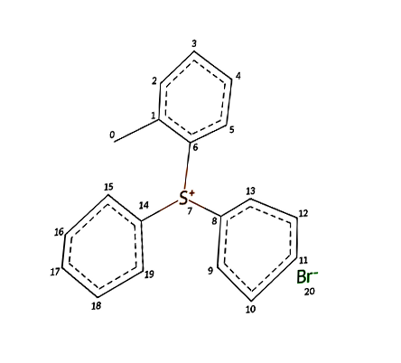 Cc1ccccc1[S+](c1ccccc1)c1ccccc1.[Br-]